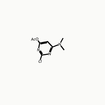 CC(=O)Oc1cc(N(C)C)nc(Cl)n1